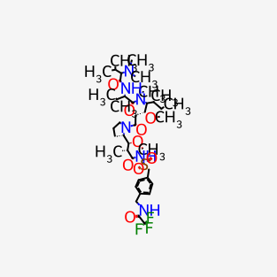 CC[C@H](C)[C@@H]([C@@H](CC(=O)N1CCC[C@H]1[C@H](OC)[C@@H](C)C(=O)NS(=O)(=O)Cc1ccc(CNC(=O)C(F)(F)F)cc1)OC)N(C)C(=O)[C@@H](NC(=O)C(C(C)C)N(C)C)C(C)C